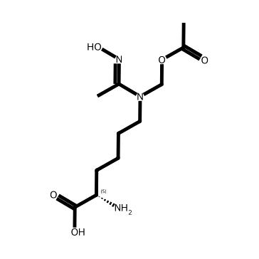 CC(=O)OCN(CCCC[C@H](N)C(=O)O)C(C)=NO